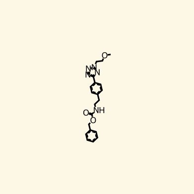 COCCn1nnc(-c2ccc(CCNC(=O)OCc3ccccc3)cc2)n1